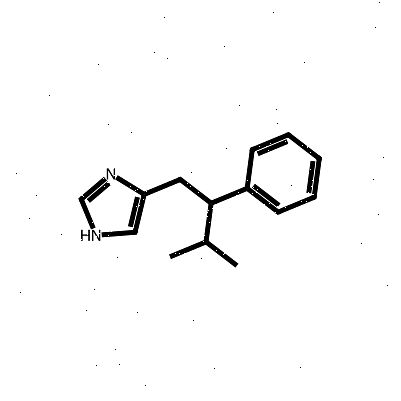 CC(C)[C](Cc1c[nH]cn1)c1ccccc1